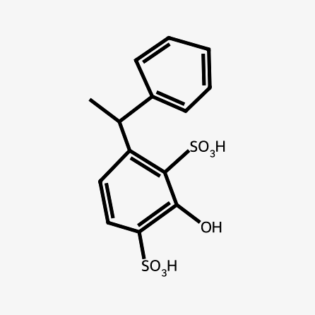 CC(c1ccccc1)c1ccc(S(=O)(=O)O)c(O)c1S(=O)(=O)O